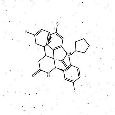 O=C1C[C@@H](C2C=CC=C(F)C2)[C@]2(C(=O)Nc3cc(Cl)ccc32)[C@@H](c2cc(F)ccc2OC2CCCC2)N1